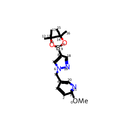 COc1ccc(Cn2cc(B3OC(C)(C)C(C)(C)O3)cn2)cn1